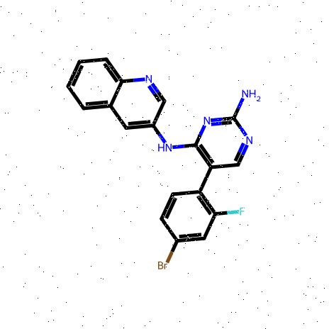 Nc1ncc(-c2ccc(Br)cc2F)c(Nc2cnc3ccccc3c2)n1